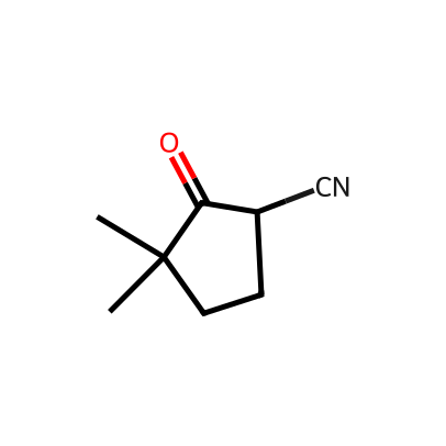 CC1(C)CCC(C#N)C1=O